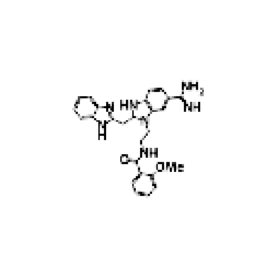 COc1ccccc1C(=O)NCCN1c2cc(C(=N)N)ccc2NC1Cc1nc2ccccc2[nH]1